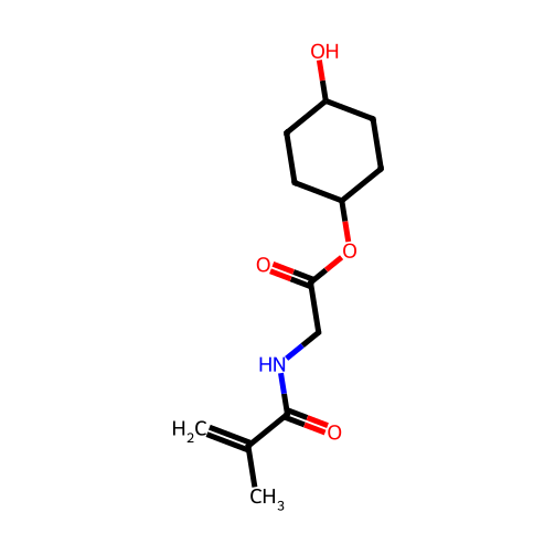 C=C(C)C(=O)NCC(=O)OC1CCC(O)CC1